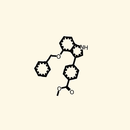 COC(=O)c1ccc(-c2c[nH]c3cccc(OCc4ccccc4)c23)cc1